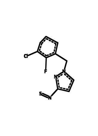 Fc1c(Cl)cccc1Cn1ccc(N=S)n1